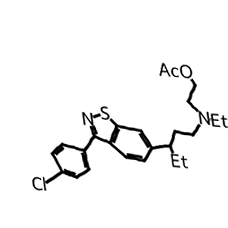 CCC(CCN(CC)CCOC(C)=O)c1ccc2c(-c3ccc(Cl)cc3)nsc2c1